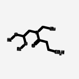 CCOC(CN(CC(C)CC)C(=O)CCC(=O)O)OCC